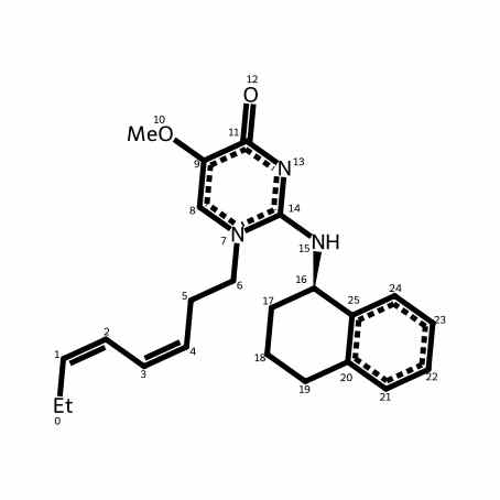 CC/C=C\C=C/CCn1cc(OC)c(=O)nc1N[C@@H]1CCCc2ccccc21